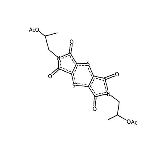 CC(=O)OC(C)Cn1c(=O)c2sc3c(=O)n(CC(C)OC(C)=O)c(=O)c3sc2c1=O